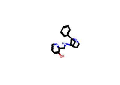 Oc1cccnc1CNC1C2CCN(CC2)C1c1ccccc1